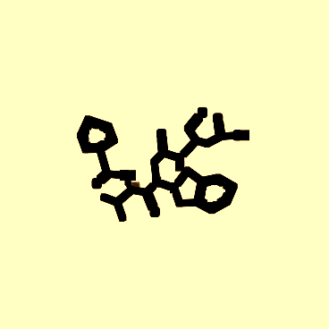 CC(C)[C@H](NC(=O)c1ccccc1)C(=O)N(CC(=O)NC(C=O)CC(=O)O)N1Cc2ccccc2C1